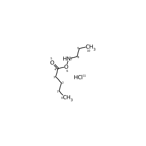 CCCCC(=O)ONCCC.Cl